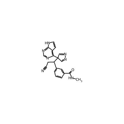 CNC(=O)c1cccc(C(CC#N)C2(c3ncnc4[nH]ccc34)C=NN=C2)c1